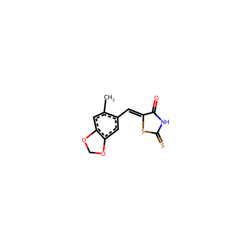 Cc1cc2c(cc1/C=C1\SC(=S)NC1=O)OCO2